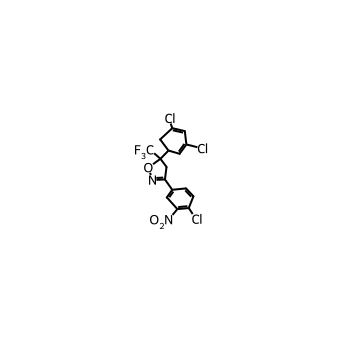 O=[N+]([O-])c1cc(C2=NOC(C3C=C(Cl)C=C(Cl)C3)(C(F)(F)F)C2)ccc1Cl